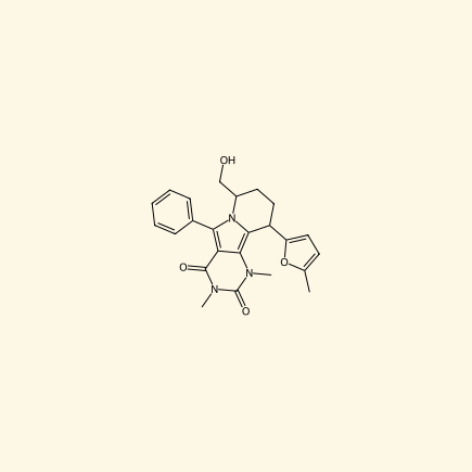 Cc1ccc(C2CCC(CO)n3c(-c4ccccc4)c4c(=O)n(C)c(=O)n(C)c4c32)o1